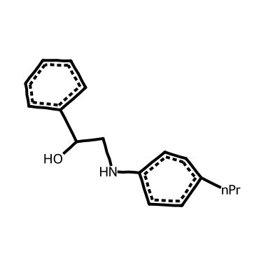 CCCc1ccc(NCC(O)c2ccccc2)cc1